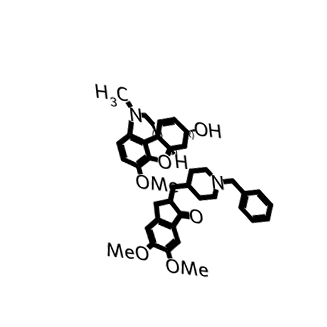 COc1cc2c(cc1OC)C(=O)C(CC1CCN(Cc3ccccc3)CC1)C2.COc1ccc2c3c1O[C@H]1C[C@@H](O)C=C[C@@]31CCN(C)C2